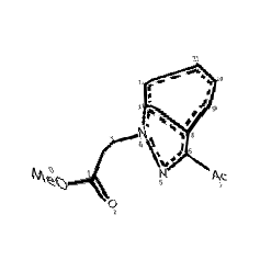 COC(=O)Cn1nc(C(C)=O)c2ccccc21